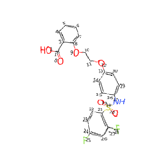 O=C(O)c1ccccc1OCCOc1ccc(NS(=O)(=O)c2ccc(F)cc2F)cc1